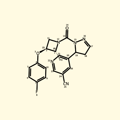 C[C@@H]1[C@@H](Oc2ccc(F)cc2)CN1C(=O)N1N=CCC1c1cncc(C#N)c1